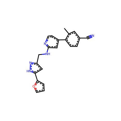 Cc1cc(C#N)ccc1-c1ccnc(NCc2cc(-c3ccco3)[nH]n2)c1